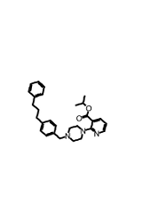 CC(C)OC(=O)c1cccnc1N1CCN(Cc2ccc(CCCc3ccccc3)cc2)CC1